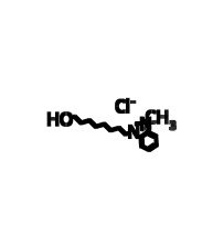 Cn1c[n+](CCCCCCCCO)c2ccccc21.[Cl-]